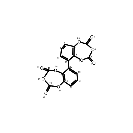 O=C1OC(=O)Oc2c(cccc2-c2cccc3c2OC(=O)OC(=O)O3)O1